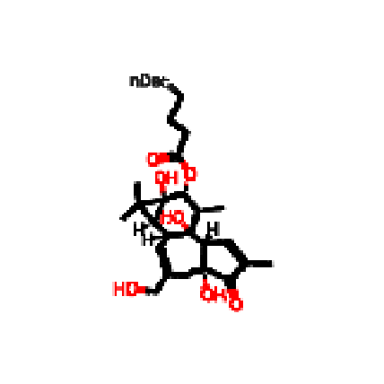 CCCCCCCCCCCCCC(=O)O[C@@H]1[C@@H](C)[C@@]2(O)[C@@H](C=C(CO)C[C@]3(O)C(=O)C(C)=C[C@@H]23)[C@H]2C(C)(C)[C@]12O